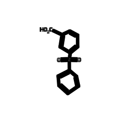 O=C(O)c1cccc(S(=O)(=O)c2ccccc2)c1